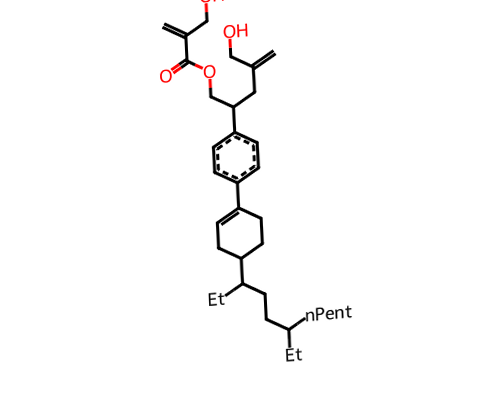 C=C(CO)CC(COC(=O)C(=C)CO)c1ccc(C2=CCC(C(CC)CCC(CC)CCCCC)CC2)cc1